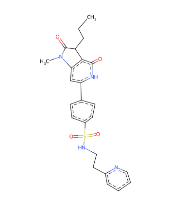 CCCC1C(=O)N(C)c2cc(-c3ccc(S(=O)(=O)NCCc4ccccn4)cc3)[nH]c(=O)c21